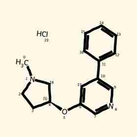 CN1CC[C@H](Oc2cncc(-c3ccccc3)c2)C1.Cl